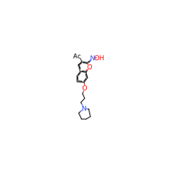 CC(=O)c1cc2ccc(OCCCN3CCCCC3)cc2oc1=NO